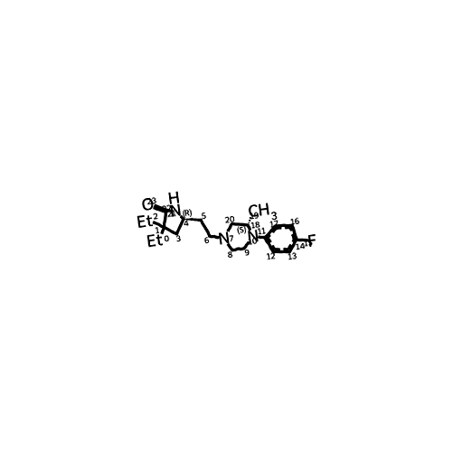 CCC1(CC)C[C@H](CCN2CCN(c3ccc(F)cc3)[C@@H](C)C2)NC1=O